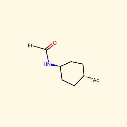 CCC(=O)N[C@H]1CC[C@H](C(C)=O)CC1